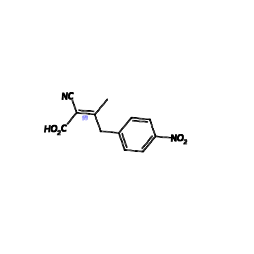 C/C(Cc1ccc([N+](=O)[O-])cc1)=C(\C#N)C(=O)O